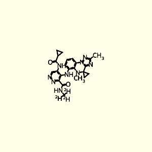 [2H]C([2H])([2H])NC(=O)c1nncc(NC(=O)C2CC2)c1Nc1cccc2c1N(C)C1(CC1)c1nc(C)nn1-2